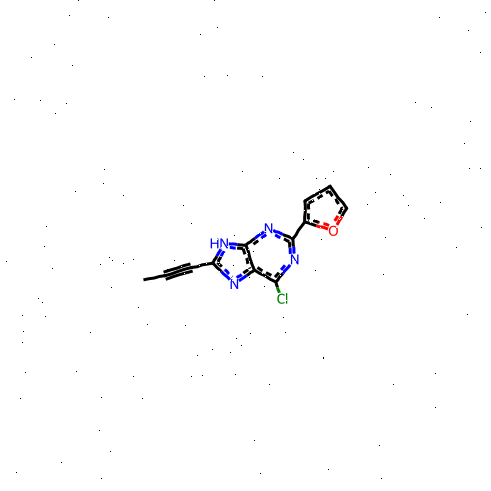 CC#Cc1nc2c(Cl)nc(-c3ccco3)nc2[nH]1